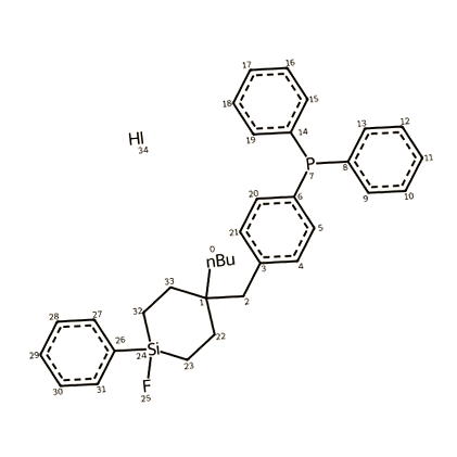 CCCCC1(Cc2ccc(P(c3ccccc3)c3ccccc3)cc2)CC[Si](F)(c2ccccc2)CC1.I